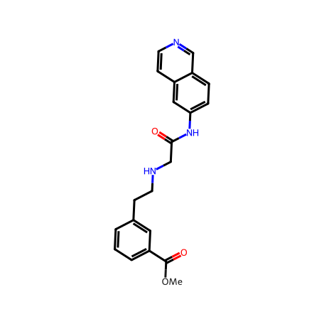 COC(=O)c1cccc(CCNCC(=O)Nc2ccc3cnccc3c2)c1